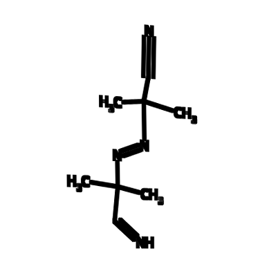 CC(C)(C#N)N=NC(C)(C)C=N